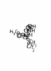 Cc1ccc(-c2ccc(C(Cc3ccc(C(=O)NCCS(=O)(=O)O)cc3)C(=O)Nc3ccc(-c4ccc(C)cc4C)c(Cl)c3)cc2)c(C)c1